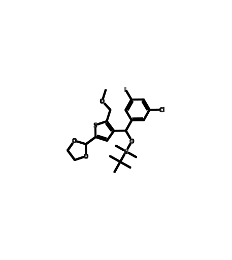 COCc1sc(C2OCCO2)cc1C(O[Si](C)(C)C(C)(C)C)c1cc(Cl)cc(I)c1